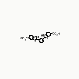 O=C(O)c1ccc2[nH]c(-c3cccc(-c4nc5cc(C(=O)O)ccc5[nH]4)c3)nc2c1